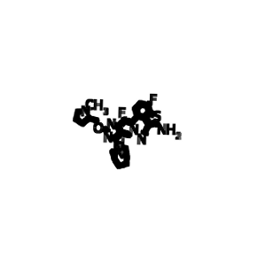 CN1CCCC1COc1nc(N2CC3CCC(C2)N3)c2cnc(-c3ccc(F)c4sc(N)c(C#N)c34)c(F)c2n1